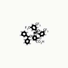 O=C(O)c1ccccc1Oc1ccc(C(F)(F)F)cc1NS(=O)(=O)c1cc(C(F)(F)F)cc(C(F)(F)F)c1.OC(c1ccccc1)c1ccccc1